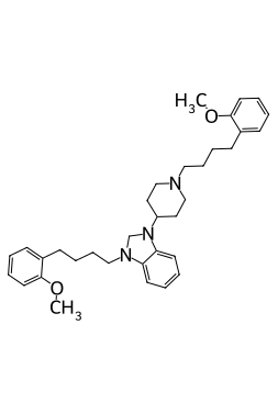 COc1ccccc1CCCCN1CCC(N2CN(CCCCc3ccccc3OC)c3ccccc32)CC1